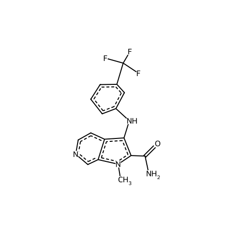 Cn1c(C(N)=O)c(Nc2cccc(C(F)(F)F)c2)c2ccncc21